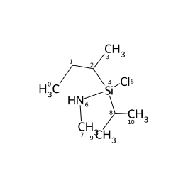 CCC(C)[Si](Cl)(NC)C(C)C